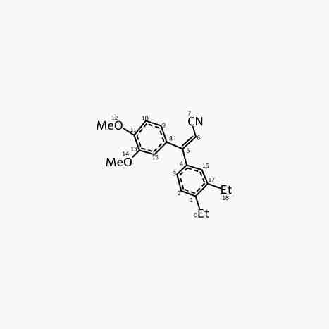 CCc1ccc(C(=CC#N)c2ccc(OC)c(OC)c2)cc1CC